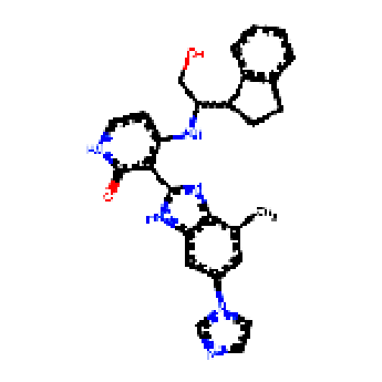 Cc1cc(-n2ccnc2)cc2[nH]c(-c3c(NC(CO)C4CCc5ccccc54)cc[nH]c3=O)nc12